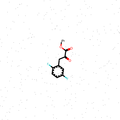 CC(C)OC(=O)C(=O)Cc1cc(F)ccc1F